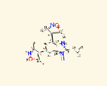 Cc1noc(C)c1-c1cc(-c2c(C)noc2C)c2nc(C3CC3)[nH]c2c1